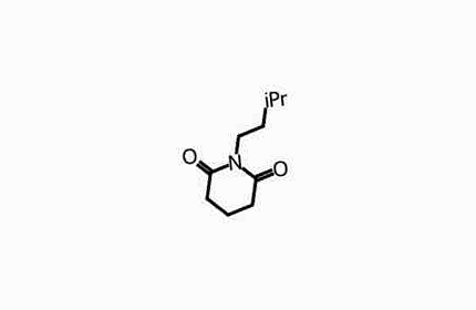 CC(C)CCN1C(=O)CCCC1=O